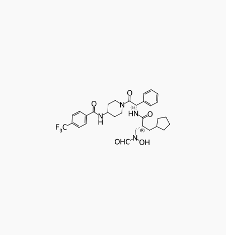 O=CN(O)C[C@@H](CC1CCCC1)C(=O)N[C@H](C(=O)N1CCC(NC(=O)c2ccc(C(F)(F)F)cc2)CC1)c1ccccc1